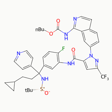 CCCCOC(=O)Nc1nccc2ccc(-n3nc(C(F)(F)F)cc3C(=O)Nc3cc(C(CCC4CC4)(N[S@+]([O-])C(C)(C)C)c4ccncc4)ccc3F)cc12